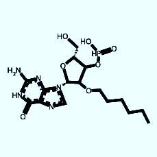 CCCCCCOC1C(O[PH](=O)O)[C@@H](CO)O[C@H]1n1cnc2c(=O)[nH]c(N)nc21